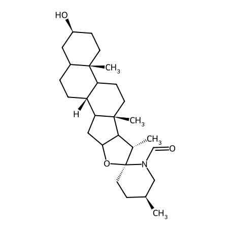 C[C@H]1CC[C@@]2(OC3CC4[C@@H]5CCC6C[C@@H](O)CC[C@]6(C)C5CC[C@]4(C)C3[C@@H]2C)N(C=O)C1